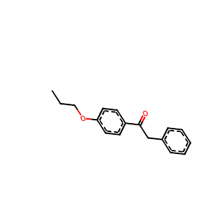 CCCOc1ccc(C(=O)Cc2ccccc2)cc1